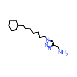 NCc1cn(CCCCCCCC2CCCCC2)nn1